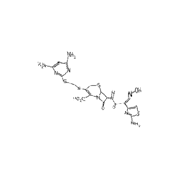 Nc1cc(N)nc(SCSC2=C(C(=O)O)N3C(=O)C(NC(=O)C(=NO)c4csc(N)n4)C3SC2)n1